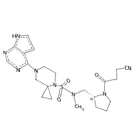 CN(C[C@H]1CCCN1C(=O)CCC#N)S(=O)(=O)N1CCN(c2ncnc3[nH]ccc23)CC12CC2